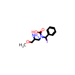 COCC(N)CN(C(=O)O)C(I)c1ccccc1